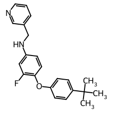 CC(C)(C)c1ccc(Oc2ccc(NCc3cccnc3)cc2F)cc1